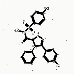 CN(C(=O)C1NN=C(c2ccc(Cl)cc2)[C@H]1c1ccccc1)S(=O)(=O)c1ccc(Cl)cc1